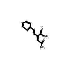 NC(=O)/C=C(/C=C/c1ccccc1)C(N)=O